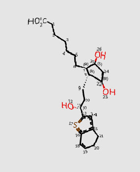 O=C(O)CCCCCC[C@@H]1[C@@H](CC[C@@H](O)c2cc3c(s2)C=CCC3)[C@H](O)C[C@@H]1O